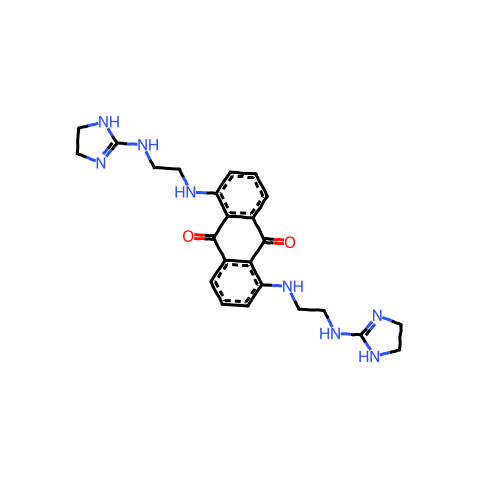 O=C1c2cccc(NCCNC3=NCCN3)c2C(=O)c2cccc(NCCNC3=NCCN3)c21